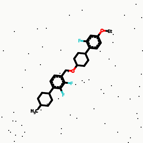 CCOc1ccc(C2CCC(OCc3ccc(C4CCC(C)CC4)c(F)c3F)CC2)c(F)c1